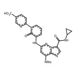 CNc1cc(Nc2cccn(-c3ccc(C(=O)O)cn3)c2=O)nn2c(C(=O)NC3CC3)cnc12